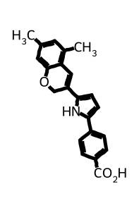 Cc1cc(C)c2c(c1)OCC(c1ccc(-c3ccc(C(=O)O)cc3)[nH]1)=C2